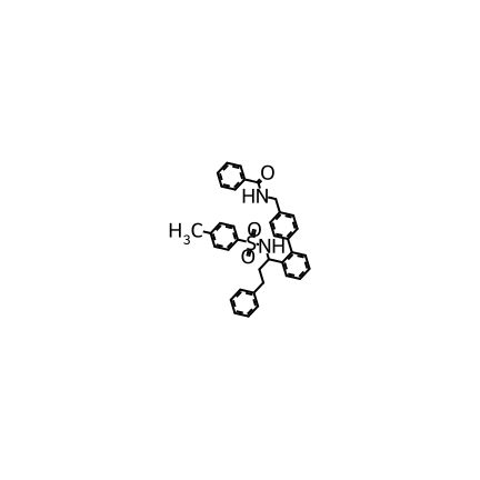 Cc1ccc(S(=O)(=O)NC(CCc2ccccc2)c2ccccc2-c2ccc(CNC(=O)c3ccccc3)cc2)cc1